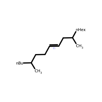 [CH2]CCCCCC(C)C/C=C/CCC(C)CCC[CH2]